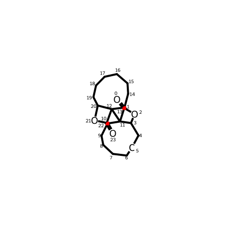 O=C1OC2CCCCCCCC12C12CCCCCCCC1OC2=O